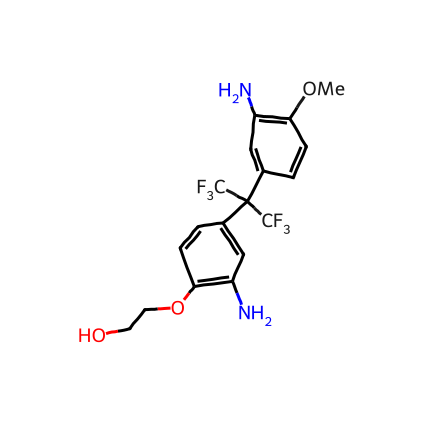 COc1ccc(C(c2ccc(OCCO)c(N)c2)(C(F)(F)F)C(F)(F)F)cc1N